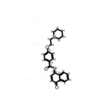 O=C(/N=C1\C=CC(=O)c2ccccc21)c1ccc(OCCN2CCCCC2)cc1